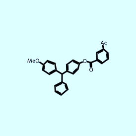 COc1ccc(C(c2ccccc2)c2ccc(OC(=O)c3cccc(C(C)=O)c3)cc2)cc1